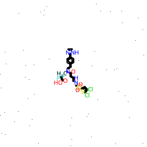 CN(CCc1ccc(C2=NCCN2)cc1)C(=O)CCCNCS(=O)(=O)c1cc(Cl)c(Cl)s1.O=C(O)C(F)(F)F